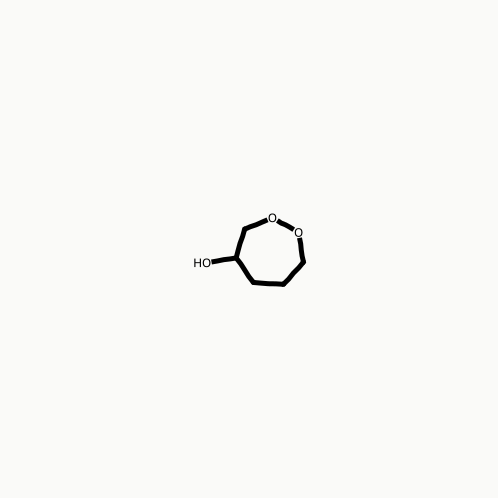 OC1CCCOOC1